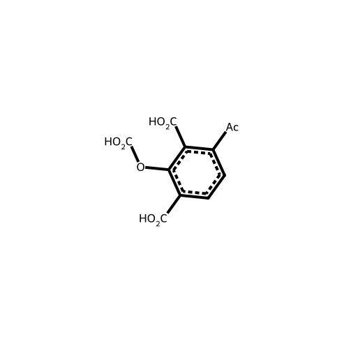 CC(=O)c1ccc(C(=O)O)c(OC(=O)O)c1C(=O)O